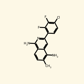 Cc1ccc2c(N)nc(-c3ccc(Cl)c(F)c3F)cc2c1N